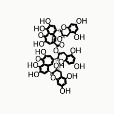 O=C(O[C@H]1Cc2c(O)cc(O)cc2O[C@H]1c1cc(O)c(=O)c2c(O)c(O)cc([C@H]3Oc4cc(O)cc(O)c4C[C@H]3O)c2c1)c1cc(O)c(=O)c2c(O)c(O)cc([C@@H]3Oc4cc(O)cc(O)c4C[C@@H]3O)c2c1